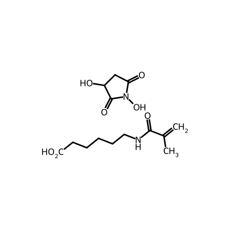 C=C(C)C(=O)NCCCCCC(=O)O.O=C1CC(O)C(=O)N1O